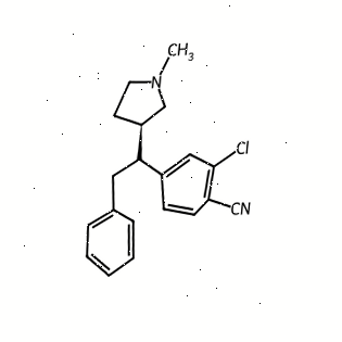 CN1CC[C@H](C(Cc2ccccc2)c2ccc(C#N)c(Cl)c2)C1